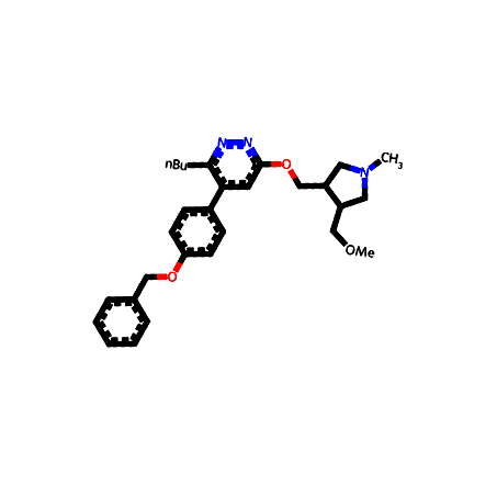 CCCCc1nnc(OCC2CN(C)CC2COC)cc1-c1ccc(OCc2ccccc2)cc1